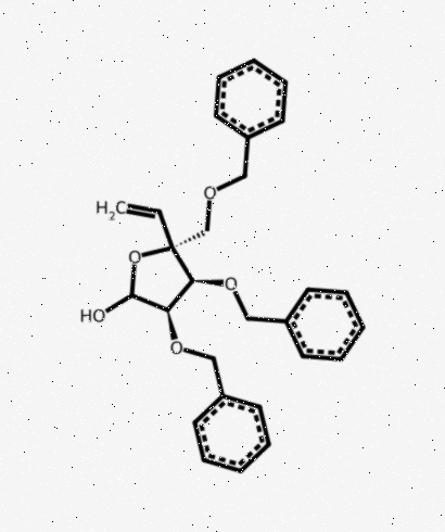 C=C[C@]1(COCc2ccccc2)OC(O)[C@H](OCc2ccccc2)[C@@H]1OCc1ccccc1